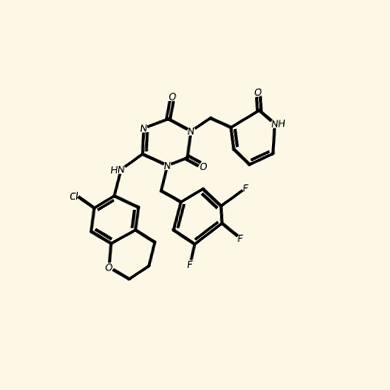 O=c1[nH]cccc1Cn1c(=O)nc(Nc2cc3c(cc2Cl)OCCC3)n(Cc2cc(F)c(F)c(F)c2)c1=O